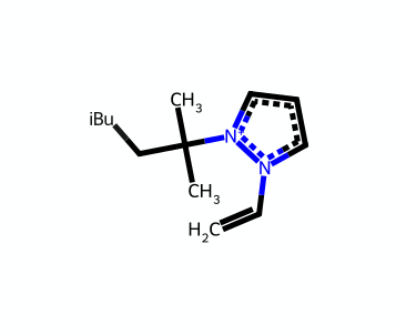 C=Cn1ccc[n+]1C(C)(C)CC(C)CC